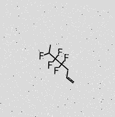 C=CCC(F)(F)C(F)(F)C(C)F